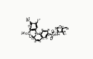 COc1nc(Br)c(F)cc1-n1c(=O)ccc2cc(S(=O)(=O)Nc3noc(C)c3C)ccc21